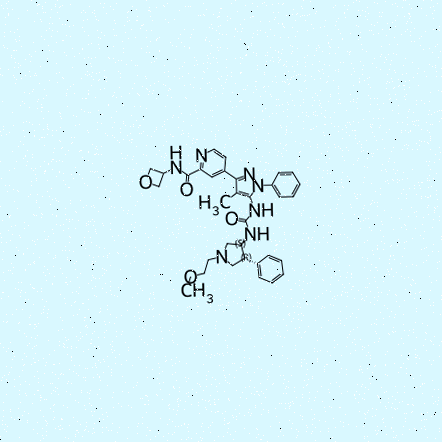 COCCN1C[C@@H](NC(=O)Nc2c(C)c(-c3ccnc(C(=O)NC4COC4)c3)nn2-c2ccccc2)[C@H](c2ccccc2)C1